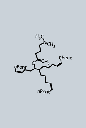 C=C(CCCN(C)C)OC(CC/C=C\CCCCC)C(CCC/C=C\CCCCC)CCC/C=C\CCCCC